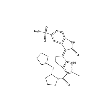 CNS(=O)(=O)c1ccc2c(c1)/C(=C1\CCc3c1[nH]c(C)c3C(=O)N1CCC[C@@H]1CN1CCCC1)C(=O)N2